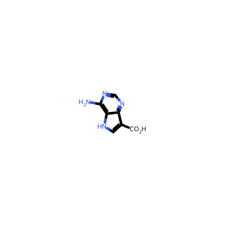 Nc1ncnc2c(C(=O)O)c[nH]c12